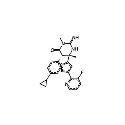 CN1C(=N)N[C@](C)(c2cc(-c3ncccc3F)cs2)[C@H](c2ccc(C3CC3)cc2)C1=O